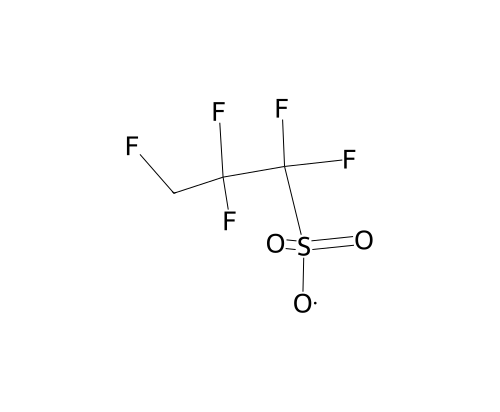 [O]S(=O)(=O)C(F)(F)C(F)(F)CF